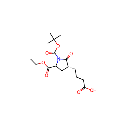 CCOC(=O)C1C[C@@H](CCCC(=O)O)C(=O)N1C(=O)OC(C)(C)C